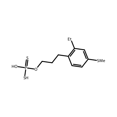 CCc1cc(SC)ccc1CCCOP(O)(=S)S